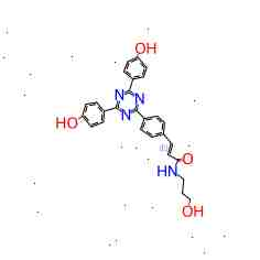 O=C(/C=C/c1ccc(-c2nc(-c3ccc(O)cc3)nc(-c3ccc(O)cc3)n2)cc1)NCCCO